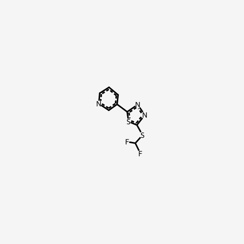 FC(F)Sc1nnc(-c2cccnc2)s1